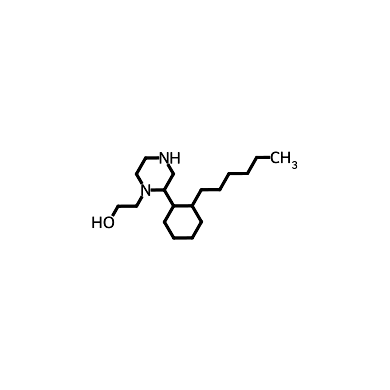 CCCCCCC1CCCCC1C1CNCCN1CCO